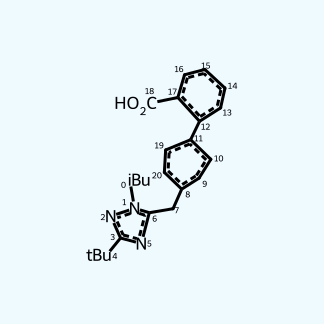 CCC(C)n1nc(C(C)(C)C)nc1Cc1ccc(-c2ccccc2C(=O)O)cc1